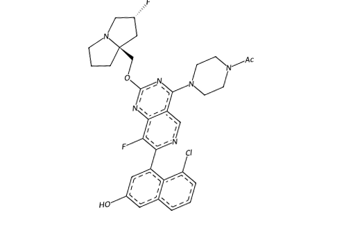 CC(=O)N1CCN(c2nc(OC[C@@]34CCCN3C[C@H](F)C4)nc3c(F)c(-c4cc(O)cc5cccc(Cl)c45)ncc23)CC1